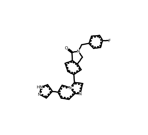 O=C1c2ccc(-c3cnc4ccc(-c5cn[nH]c5)cn34)cc2CN1Cc1ccc(F)cc1